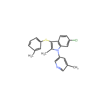 Cc1cccc(Sc2c(C)n(-c3cncc(C)c3)c3cc(Cl)ccc23)c1